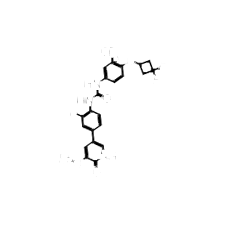 CCOc1cc(-c2ccc(NC(=O)Nc3ccc(OC4CC(F)(F)C4)c(C(F)(F)F)c3)c(F)c2)c[nH]c1=O